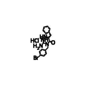 Cl.N=C(N)N(Cc1ccc(Br)cc1)C(=O)c1cc2ccccc2[nH]1